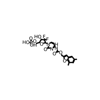 Cc1cc(C)c2oc(COC(=O)Nc3ccn(C4OC(COP(=O)(O)O)[C@@H](O)C4(F)F)c(=O)n3)cc2c1